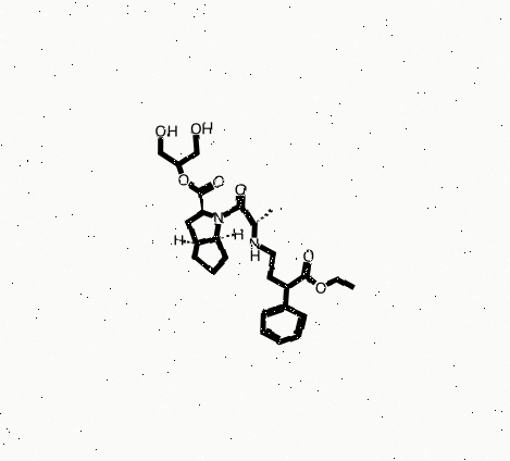 CCOC(=O)C(CCN[C@@H](C)C(=O)N1[C@H](C(=O)OC(CO)CO)C[C@@H]2CCC[C@@H]21)c1ccccc1